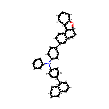 c1ccc(N(c2ccc(-c3ccc4c(ccc5oc6ccccc6c54)c3)cc2)c2ccc(-c3cccc4ccccc34)cc2)cc1